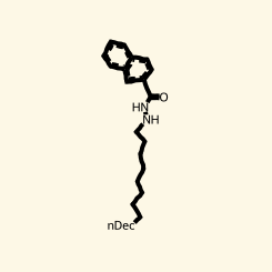 CCCCCCCCCCCCCCCCCCNNC(=O)c1ccc2ccccc2c1